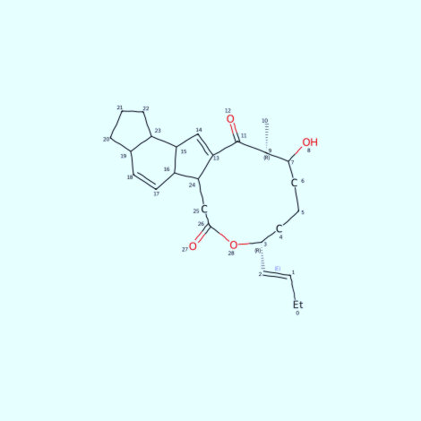 CC/C=C/[C@H]1CCCC(O)[C@@H](C)C(=O)C2=CC3C(C=CC4CCCC43)C2CC(=O)O1